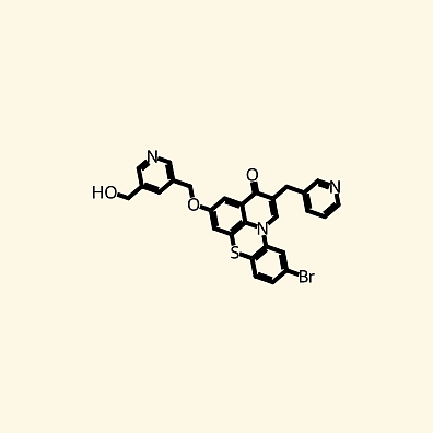 O=c1c(Cc2cccnc2)cn2c3c(cc(OCc4cncc(CO)c4)cc13)Sc1ccc(Br)cc1-2